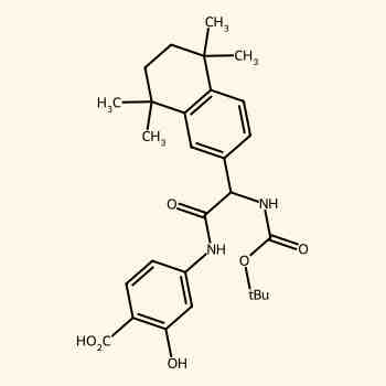 CC(C)(C)OC(=O)NC(C(=O)Nc1ccc(C(=O)O)c(O)c1)c1ccc2c(c1)C(C)(C)CCC2(C)C